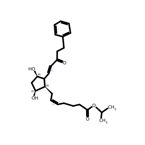 CC(C)OC(=O)CCC/C=C\C[C@@H]1C(/C=C/C(=O)CCc2ccccc2)[C@H](O)C[C@@H]1O